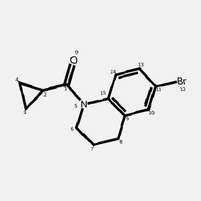 O=C(C1CC1)N1CCCc2cc(Br)ccc21